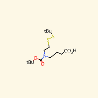 CC(C)(C)OC(=O)N(CCCC(=O)O)CCSSC(C)(C)C